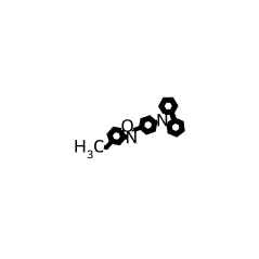 CCc1ccc2oc(-c3ccc(-n4c5ccccc5c5ccccc54)cc3)nc2c1